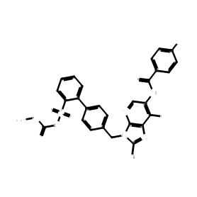 CCCCOC(=O)NS(=O)(=O)c1ccccc1-c1ccc(Cn2c(CCC)nc3c(C)c(NC(=O)c4ccc(Cl)cc4)cnc32)cc1